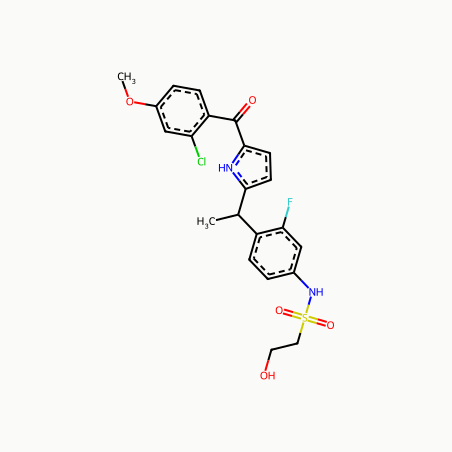 COc1ccc(C(=O)c2ccc(C(C)c3ccc(NS(=O)(=O)CCO)cc3F)[nH]2)c(Cl)c1